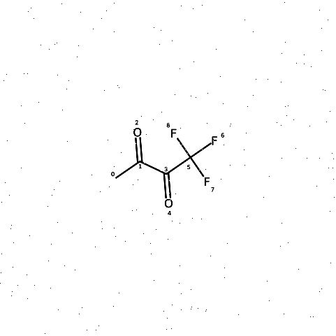 CC(=O)C(=O)C(F)(F)F